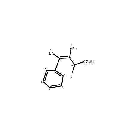 CCCCC(=C(Br)c1ccccc1)C(F)C(=O)OCC